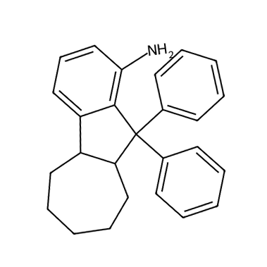 Nc1cccc2c1C(c1ccccc1)(c1ccccc1)C1CCCCCC21